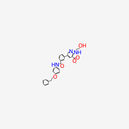 COC(=O)c1cc(-c2cccc(C(=O)Nc3ccc(OCCc4ccccc4)cc3)c2)cnc1NCCO